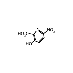 O=C(O)c1nc([N+](=O)[O-])ccc1O